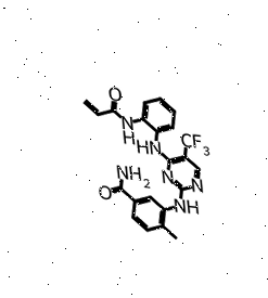 C=CC(=O)Nc1ccccc1Nc1nc(Nc2cc(C(N)=O)ccc2C)ncc1C(F)(F)F